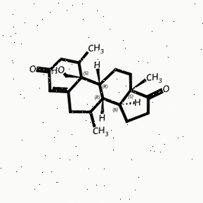 CC1CC2=CC(=O)CC(C)[C@]2(CO)[C@@H]2CC[C@]3(C)C(=O)CC[C@H]3[C@H]12